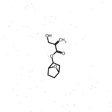 C=C(CO)C(=O)OC1CC2CCC1O2